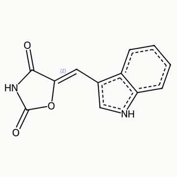 O=C1NC(=O)/C(=C/c2c[nH]c3ccccc23)O1